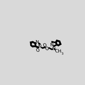 CN(CCOC(=O)Cn1cnc2ccccc2c1=O)C1=NCc2ccccc21